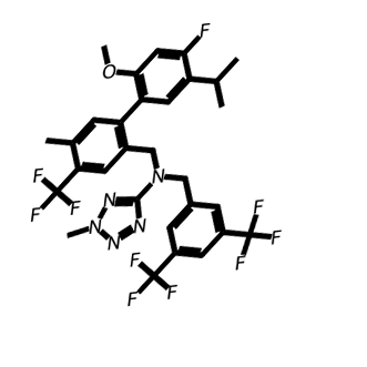 COc1cc(F)c(C(C)C)cc1-c1cc(C)c(C(F)(F)F)cc1CN(Cc1cc(C(F)(F)F)cc(C(F)(F)F)c1)c1nnn(C)n1